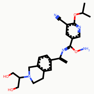 C=C(/N=C(\ON)c1cnc(OC(C)C)c(C#N)c1)c1ccc2c(c1)CCN(C(CO)CO)C2